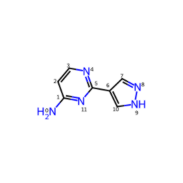 Nc1ccnc(-c2cn[nH]c2)n1